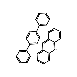 [c]1c2ccccc2cc2ccccc12.c1ccc(-c2ccc(-c3ccccc3)cc2)cc1